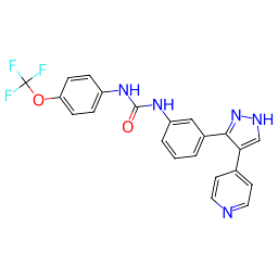 O=C(Nc1ccc(OC(F)(F)F)cc1)Nc1cccc(-c2n[nH]cc2-c2ccncc2)c1